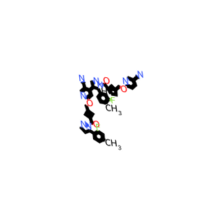 Cc1ccc(C2CC=NN2C(=O)C23CC(COc4cc(C5C=NN(C(=O)[C@H]6CC7(COc8ccc(C#N)cn8)CC6C7)C5c5ccc(C)c(F)c5)c(C#N)cn4)(C2)C3)c(F)c1